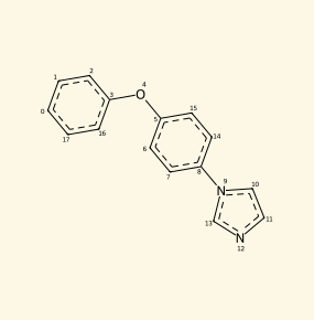 c1ccc(Oc2ccc(-n3ccnc3)cc2)cc1